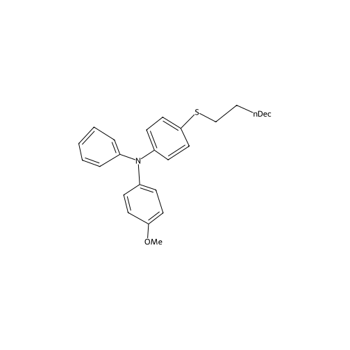 CCCCCCCCCCCCSc1ccc(N(c2ccccc2)c2ccc(OC)cc2)cc1